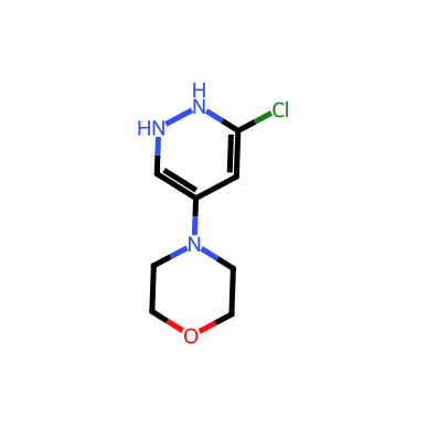 ClC1=CC(N2CCOCC2)=CNN1